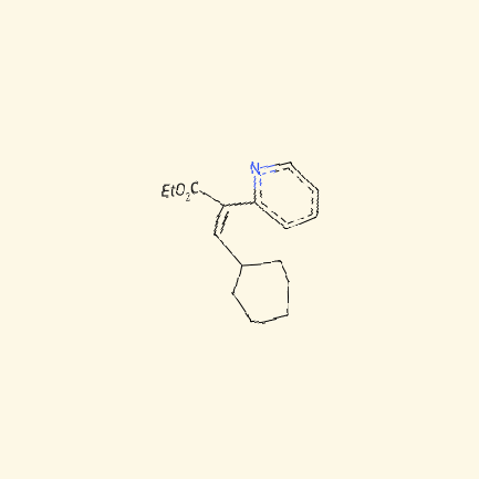 CCOC(=O)C(=CC1CCCCC1)c1ccccn1